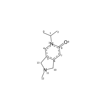 CC(C)n1cc2c(cc1=O)CN(C)C2